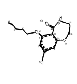 CCCCOc1cc(Cl)cc2c1C(=O)NCCO2